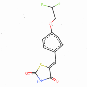 O=C1NC(=O)C(=Cc2ccc(OCC(F)F)cc2)S1